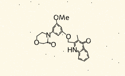 COc1cc(OCc2[nH]c3ccccc3c(=O)c2C)cc(N2CCOCC2=O)c1